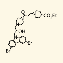 CCOC(=O)C1CCN(CCC(=O)N2CCN(CC(O)Cn3c4ccc(Br)cc4c4cc(Br)ccc43)CC2)CC1